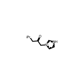 CC(C)CC(=O)C[n+]1cc[nH]c1